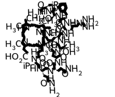 C=CC1=C(C)c2cc3[nH]c(cc4nc(cc5[nH]c(cc1n2)c(C)c5CCC(=O)N[C@H](C(=O)N[C@@H](CCC(N)=O)C(=O)N[C@@H](CCC(N)=O)C(=O)N[C@H]1CC(C)N(C(C(=O)N[C@@H](CCCCN)C(=O)N[C@@H](CCCNC(=N)N)C(=O)N[C@@H](Cc2ccccc2)C(=O)N[C@@H](CO)C(=O)N[C@@H](CC(C)C)C(N)=O)[C@@H](C)O)C1=O)C(C)C)C(CCC(=O)O)=C4C)c(C)c3C=C